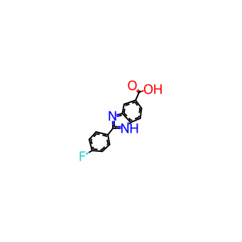 O=C(O)c1ccc2[nH]c(-c3ccc(F)cc3)nc2c1